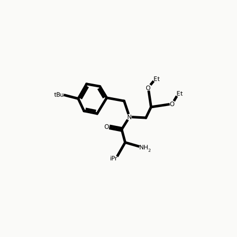 CCOC(CN(Cc1ccc(C(C)(C)C)cc1)C(=O)C(N)C(C)C)OCC